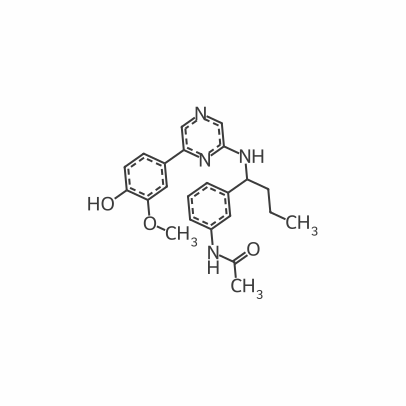 CCCC(Nc1cncc(-c2ccc(O)c(OC)c2)n1)c1cccc(NC(C)=O)c1